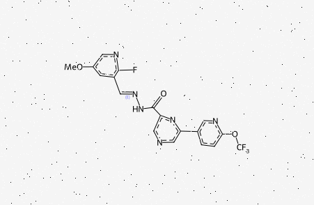 COc1cnc(F)c(/C=N/NC(=O)c2cncc(-c3ccc(OC(F)(F)F)nc3)n2)c1